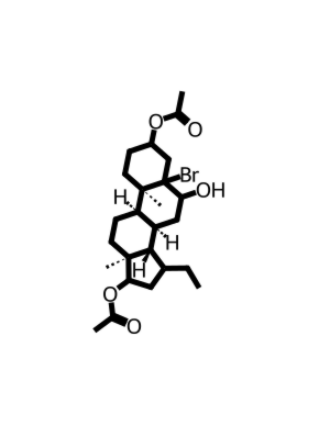 CCC1CC(OC(C)=O)[C@@]2(C)CC[C@@H]3[C@@H](CC(O)C4(Br)CC(OC(C)=O)CC[C@]34C)[C@H]12